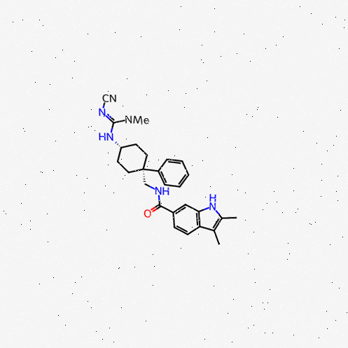 CN/C(=N\C#N)N[C@H]1CC[C@](CNC(=O)c2ccc3c(C)c(C)[nH]c3c2)(c2ccccc2)CC1